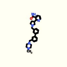 CN1CCN(Cc2cccc(-c3cccc(CN4CCC(c5ncccc5C(N)=O)C4)c3)c2)CC1